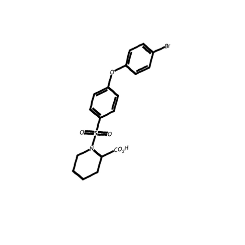 O=C(O)C1CCCCN1S(=O)(=O)c1ccc(Oc2ccc(Br)cc2)cc1